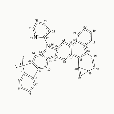 CC1(C)c2ccccc2-c2cc3c4cc5c6c(c7ccccc7c5cc4n(-c4ccccn4)c3cc21)C=CC1C=C61